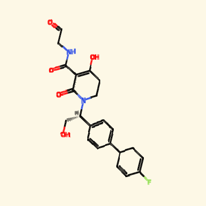 O=CCNC(=O)C1=C(O)CCN([C@@H](CO)c2ccc(C3C=CC(F)=CC3)cc2)C1=O